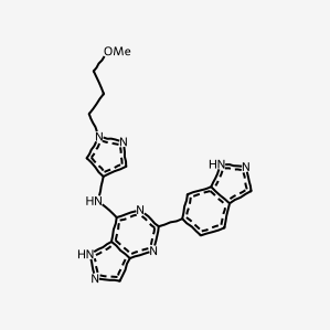 COCCCn1cc(Nc2nc(-c3ccc4cn[nH]c4c3)nc3cn[nH]c23)cn1